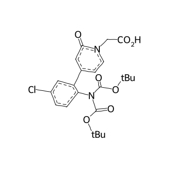 CC(C)(C)OC(=O)N(C(=O)OC(C)(C)C)c1ccc(Cl)cc1-c1ccn(CC(=O)O)c(=O)c1